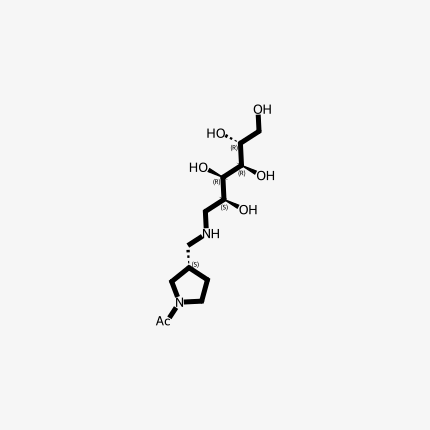 CC(=O)N1CC[C@@H](CNC[C@H](O)[C@@H](O)[C@H](O)[C@H](O)CO)C1